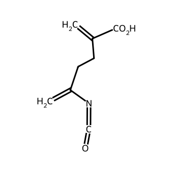 C=C(CCC(=C)C(=O)O)N=C=O